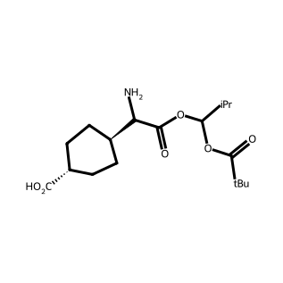 CC(C)C(OC(=O)C(N)[C@H]1CC[C@H](C(=O)O)CC1)OC(=O)C(C)(C)C